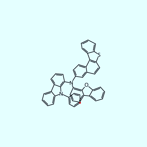 c1ccc(-n2c3ccccc3c3cccc(N(c4ccc5c(ccc6sc7ccccc7c65)c4)c4cccc5c4oc4ccccc45)c32)cc1